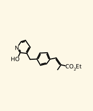 CCOC(=O)C(C)=Cc1ccc(Cc2cccnc2O)cc1